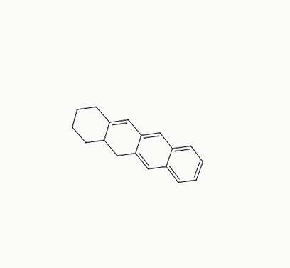 C1=C2CCCCC2Cc2cc3ccccc3cc21